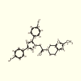 Cc1nc2c(o1)CN(C(=O)Cn1nc(-c3ccc(F)cc3)nc1-c1ccc(F)cc1)CC2